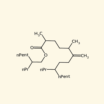 C=C(CCC(CCC)CCCCC)C(C)CCC(C)C(=O)OCC(CCC)CCCCC